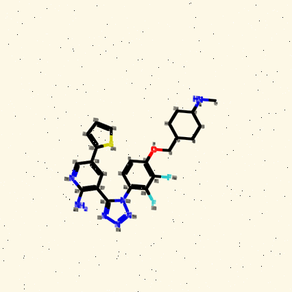 CNC1CCC(COc2ccc(-n3nnnc3-c3cc(-c4cccs4)cnc3N)c(F)c2F)CC1